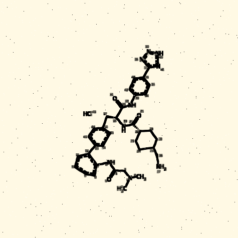 CN(C)CC(=O)Nc1ccccc1-c1ccc(C[C@H](NC(=O)[C@H]2CC[C@H](CN)CC2)C(=O)Nc2ccc(-c3nn[nH]n3)cc2)cc1.Cl